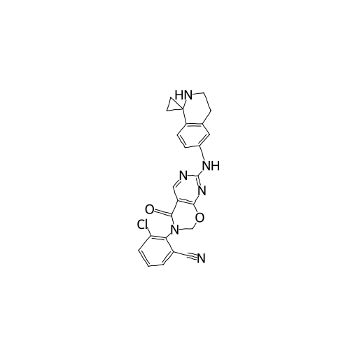 N#Cc1cccc(Cl)c1N1COc2nc(Nc3ccc4c(c3)CCNC43CC3)ncc2C1=O